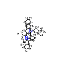 Cc1cc2c3c(c1)-n1c4c(c5cccc(c51)B3N(c1ccc(C(C)(C)C)cc1)c1cc3ccccc3cc1-2)-c1ccccc1C4(C)C